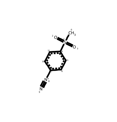 CS(=O)(=O)c1ccc([N+]#N)cc1